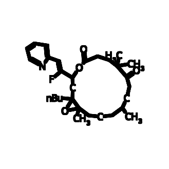 CCCCC12CC(C(F)=Cc3ccccn3)OC(=O)CCC(C)(C)C(=O)CCC(C)CCCC1(C)O2